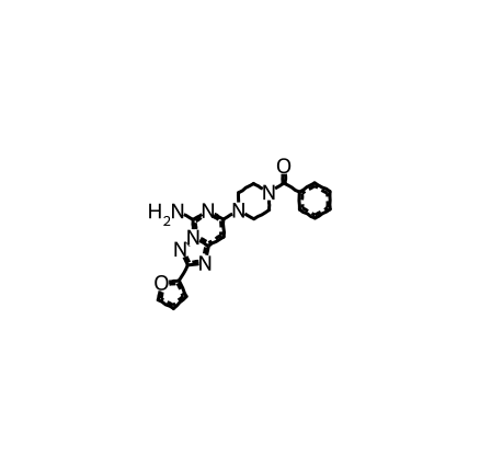 Nc1nc(N2CCN(C(=O)c3ccccc3)CC2)cc2nc(-c3ccco3)nn12